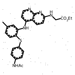 CCOC(=O)CNc1ccc2c(Nc3cc(C)ccc3Sc3ccc(NC(C)=O)cc3)ccnc2n1